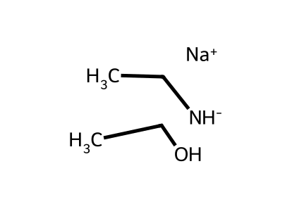 CCO.CC[NH-].[Na+]